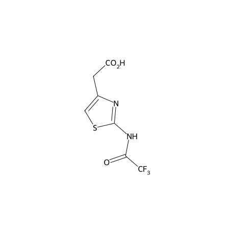 O=C(O)Cc1csc(NC(=O)C(F)(F)F)n1